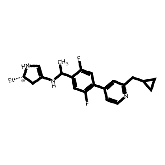 CC[C@H]1CC(NC(C)c2cc(F)c(-c3ccnc(CC4CC4)c3)cc2F)=CN1